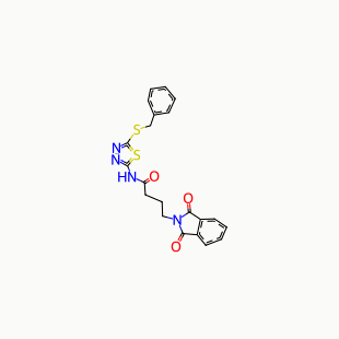 O=C(CCCN1C(=O)c2ccccc2C1=O)Nc1nnc(SCc2ccccc2)s1